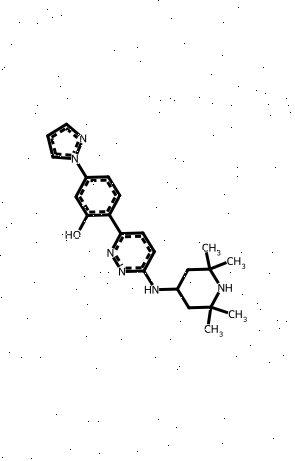 CC1(C)CC(Nc2ccc(-c3ccc(-n4cccn4)cc3O)nn2)CC(C)(C)N1